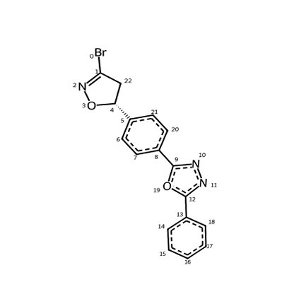 BrC1=NO[C@@H](c2ccc(-c3nnc(-c4ccccc4)o3)cc2)C1